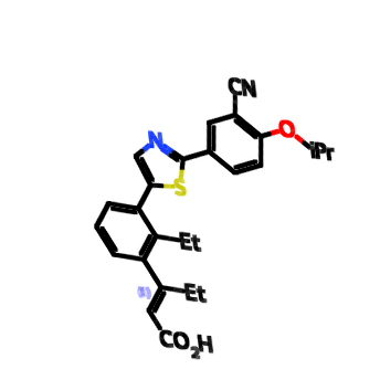 CC/C(=C\C(=O)O)c1cccc(-c2cnc(-c3ccc(OC(C)C)c(C#N)c3)s2)c1CC